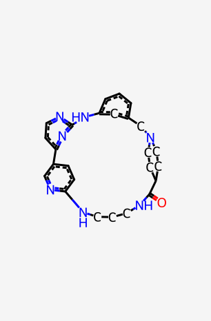 O=C1NCCCNc2ccc(cn2)-c2ccnc(n2)Nc2cccc(c2)CN2CCC1CC2